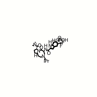 CC(C)CN1CC[C@H]2CC[C@@H](C(=O)N(C)C)N2C(=O)[C@@H](NC(=O)c2cc3cc(C(F)(F)P(=O)(O)O)ccc3[nH]2)C1